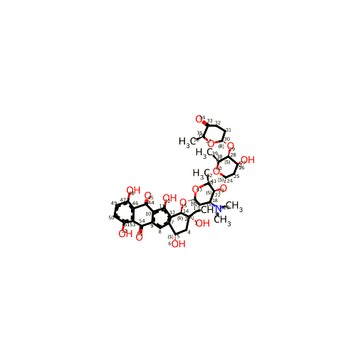 CC[C@@]1(O)C[C@H](O)c2cc3c(c(O)c2[C@H]1O[C@H]1C[C@H](N(C)C)[C@H](O[C@H]2C[C@H](O)[C@H](O[C@H]4CCC(=O)[C@H](C)O4)[C@H](C)O2)[C@H](C)O1)C(=O)c1c(O)ccc(O)c1C3=O